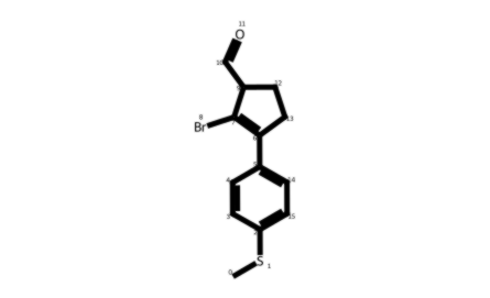 CSc1ccc(C2=C(Br)C(C=O)CC2)cc1